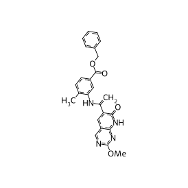 C=C(Nc1cc(C(=O)OCc2ccccc2)ccc1C)c1cc2cnc(OC)nc2[nH]c1=O